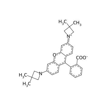 CC1(C)CN(c2ccc3c(-c4ccccc4C(=O)[O-])c4ccc(=[N+]5CC(C)(C)C5)cc-4oc3c2)C1